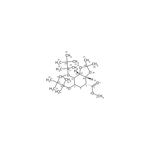 COC(=O)[C@@H]1CC(O[Si](C)(C)C(C)(C)C)C(O[Si](C)(C)C(C)(C)C)[C@@H]2OC(C)(C)O[C@H]12